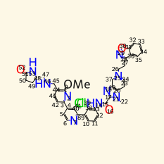 COc1nc(-c2ccnc(-c3cccc(NC(=O)c4nc5c(n4C)CCN(CCc4noc6ccccc46)C5)c3Cl)c2Cl)ccc1CNC[C@@H]1CCC(=O)N1